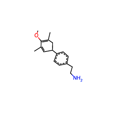 COC1=C(C)CC(c2ccc(CCN)cc2)C=C1C